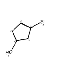 CC[C]1CCC(O)C1